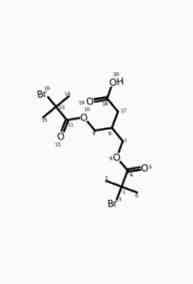 CC(C)(Br)C(=O)OCC(COC(=O)C(C)(C)Br)CC(=O)O